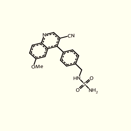 COc1ccc2ncc(C#N)c(-c3ccc(CNS(N)(=O)=O)cc3)c2c1